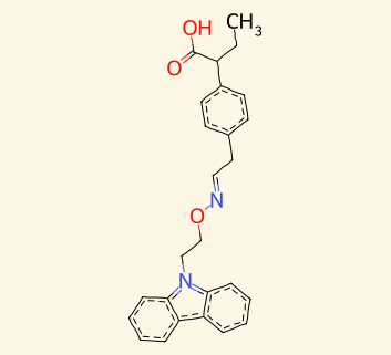 CCC(C(=O)O)c1ccc(CC=NOCCn2c3ccccc3c3ccccc32)cc1